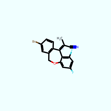 C/C(C#N)=C1\c2ccc(Br)cc2COc2cc(F)cc(F)c21